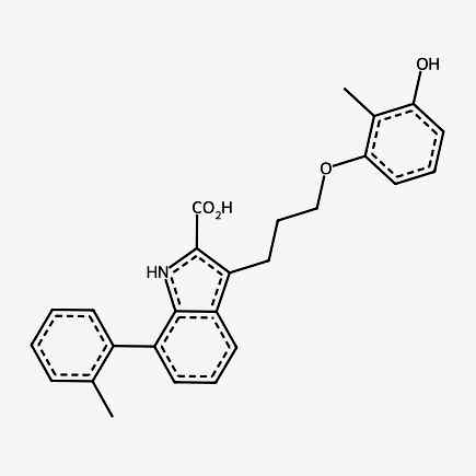 Cc1ccccc1-c1cccc2c(CCCOc3cccc(O)c3C)c(C(=O)O)[nH]c12